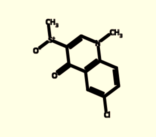 Cn1cc([S+](C)[O-])c(=O)c2cc(Cl)ccc21